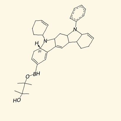 CC(C)(O)C(C)(C)OBC1=CC[C@H]2C(=C1)C1=CC3C4CCC=CC4N(c4ccccc4)C3CC1N2C1C=CCCC1